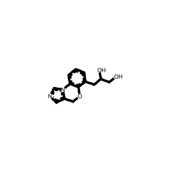 OCC(O)Cc1cccc2c1OCc1cncn1-2